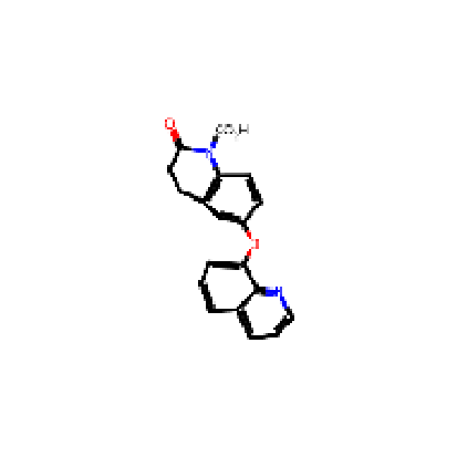 O=C(O)N1C(=O)CCc2cc(Oc3cccc4cccnc34)ccc21